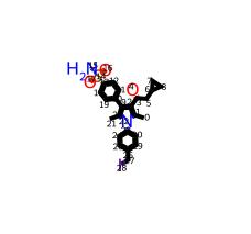 Cc1c(C(=O)CC2CC2)c(-c2ccc(S(N)(=O)=O)cc2)c(C)n1-c1ccc(CI)cc1